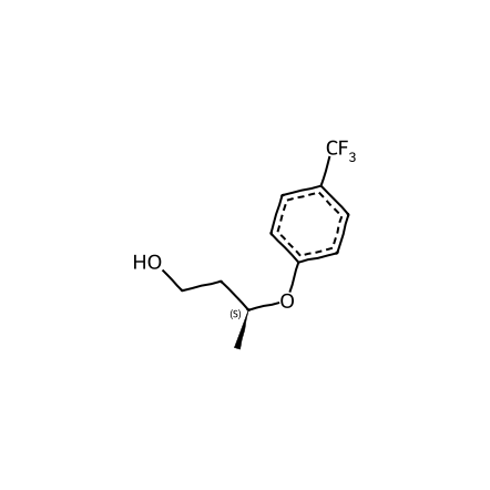 C[C@@H](CCO)Oc1ccc(C(F)(F)F)cc1